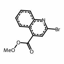 COOC(=O)c1cc(Br)nc2ccccc12